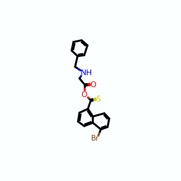 O=C(CNCc1ccccc1)OC(=S)c1cccc2c(Br)cccc12